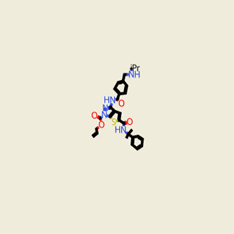 C=CCOC(=O)n1nc(NC(=O)c2ccc(CNC(C)C)cc2)c2cc(C(=O)NC(C)(C)c3ccccc3)sc21